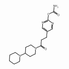 NC(=O)Oc1ncc(C[CH]C(=O)N2CCC(N3CCCCC3)CC2)cn1